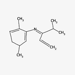 C=C/C(=N\C1=CC(C)CC=C1C)C(C)C